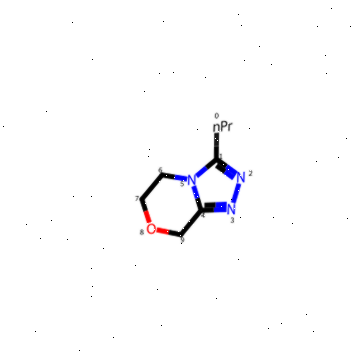 CCCc1nnc2n1CCOC2